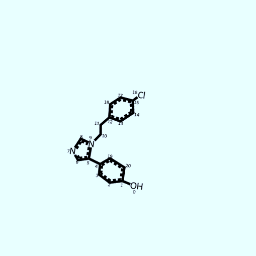 Oc1ccc(-c2cncn2CCc2ccc(Cl)cc2)cc1